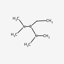 CCB(N(C)C)N(C)C